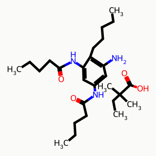 CCC(C)(C)C(=O)O.CCCCCc1c(N)cc(NC(=O)CCCC)cc1NC(=O)CCCC